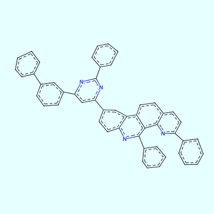 c1ccc(-c2cccc(-c3cc(-c4ccc5nc(-c6ccccc6)c6c(ccc7ccc(-c8ccccc8)nc76)c5c4)nc(-c4ccccc4)n3)c2)cc1